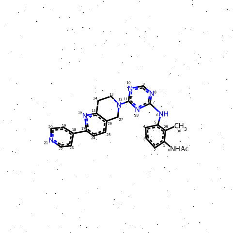 CC(=O)Nc1cccc(Nc2ncnc(N3CCc4nc(-c5ccncc5)ccc4C3)n2)c1C